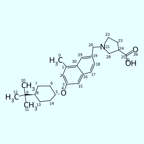 Cc1cc(O[C@H]2CC[C@H](C(C)(C)C)CC2)cc2ccc(CN3CCC(C(=O)O)C3)cc12